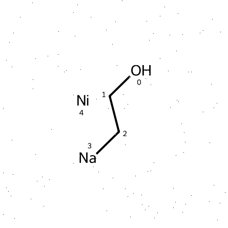 OC[CH2][Na].[Ni]